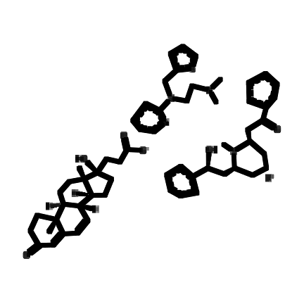 CN(C)CCN(Cc1cccs1)c1ccccn1.CN1[C@@H](CC(=O)c2ccccc2)CCC[C@H]1C[C@H](O)c1ccccc1.C[C@]12CCC(=O)C=C1C=C[C@@H]1[C@@H]2CC[C@@]2(C)[C@H]1CC[C@@]2(O)CCC(=O)[O-].[K+]